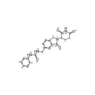 O=C1CCC(N2Cc3ccc(CNC(=O)Nc4ccccc4)cc3C2=O)C(=O)N1